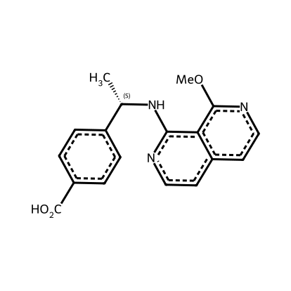 COc1nccc2ccnc(N[C@@H](C)c3ccc(C(=O)O)cc3)c12